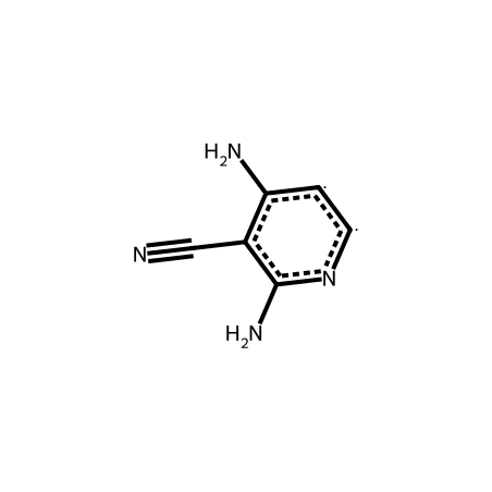 N#Cc1c(N)[c][c]nc1N